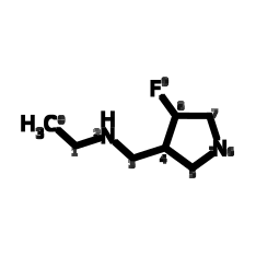 CCNCC1C[N]CC1F